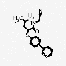 CC(C)CC(Sc1ccc(-c2ccccc2)cc1)C(=O)NCC#N